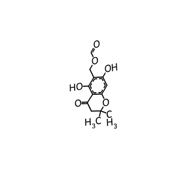 CC1(C)CC(=O)c2c(cc(O)c(COC=O)c2O)O1